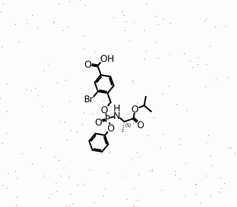 CC(C)OC(=O)[C@H](C)NP(=O)(OCc1ccc(C(=O)O)cc1Br)Oc1ccccc1